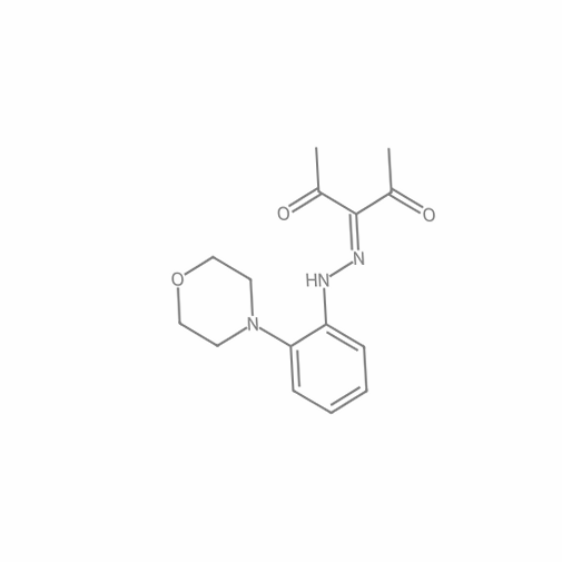 CC(=O)C(=NNc1ccccc1N1CCOCC1)C(C)=O